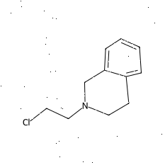 ClCCN1CCc2ccccc2C1